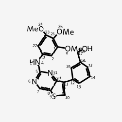 COc1cc(Nc2ncc3scc(-c4cccc(CO)c4)c3n2)cc(OC)c1OC